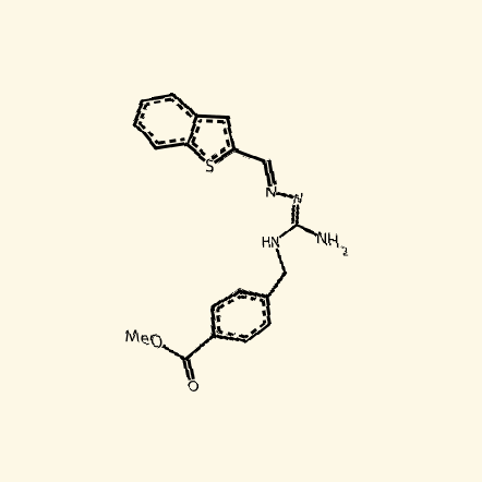 COC(=O)c1ccc(CNC(N)=NN=Cc2cc3ccccc3s2)cc1